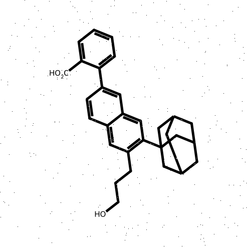 O=C(O)c1ccccc1-c1ccc2cc(CCCO)c(C34CC5CC(CC(C5)C3)C4)cc2c1